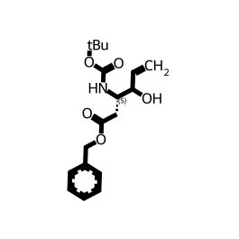 C=CC(O)[C@H](CC(=O)OCc1ccccc1)NC(=O)OC(C)(C)C